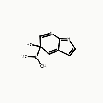 OB(O)C1(O)C=NC2=NC=CC2=C1